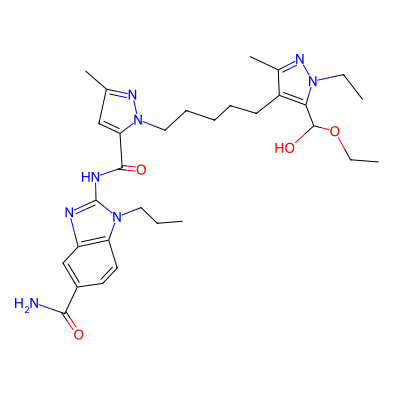 CCCn1c(NC(=O)c2cc(C)nn2CCCCCc2c(C)nn(CC)c2C(O)OCC)nc2cc(C(N)=O)ccc21